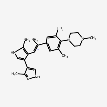 Cc1cc(/C(N)=C/c2c(-c3c[nH]nc3C)c[nH]c2N)cc(C)c1N1CCN(C)CC1